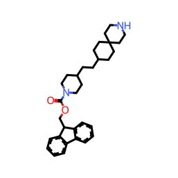 O=C(OCC1c2ccccc2-c2ccccc21)N1CCC(CCC2CCC3(CCNCC3)CC2)CC1